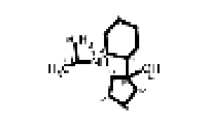 CC(C)N[C@H]1CCCC[C@H]1C1(O)CCCC1